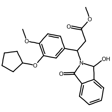 COC(=O)CC(c1ccc(OC)c(OC2CCCC2)c1)N1C(=O)c2ccccc2C1O